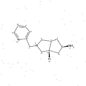 N[C@@H]1CC2CN(Cc3ccccn3)C[C@H]2C1